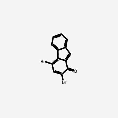 O=C1C(Br)=CC(Br)=C2C1=Cc1ccccc12